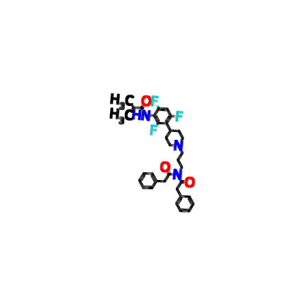 CC(C)C(=O)Nc1c(F)cc(F)c(C2CCN(CCCN(C(=O)Cc3ccccc3)C(=O)Cc3ccccc3)CC2)c1F